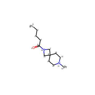 CC(C)CCCC(=O)N1CC2(CCN(C(C)C)CC2)C1